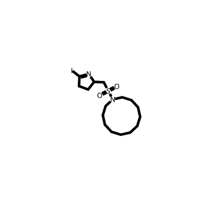 O=S(=O)(CC1CCC(I)=N1)N1CCCCCCCCCCC1